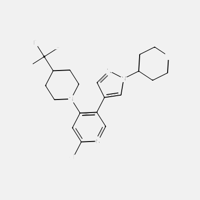 FC(F)(F)C1CCN(c2cc(Cl)ncc2-c2cnn(C3CCOCC3)c2)CC1